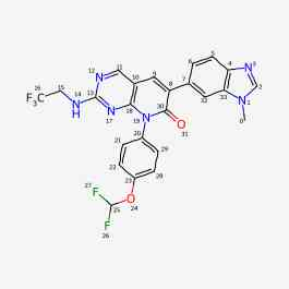 Cn1cnc2ccc(-c3cc4cnc(NCC(F)(F)F)nc4n(-c4ccc(OC(F)F)cc4)c3=O)cc21